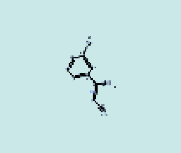 N#C/C=C(\N)c1cccc(Br)c1